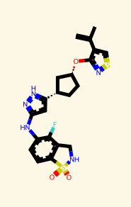 C=C(C)c1csnc1O[C@@H]1CC[C@H](c2cc(Nc3ccc4c(c3F)CNS4(=O)=O)n[nH]2)C1